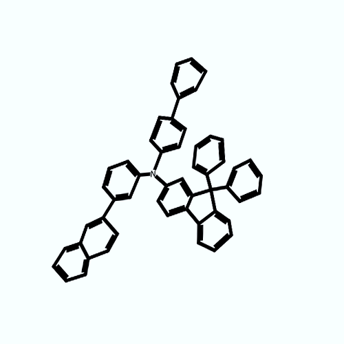 c1ccc(-c2ccc(N(c3cccc(-c4ccc5ccccc5c4)c3)c3ccc4c(c3)C(c3ccccc3)(c3ccccc3)c3ccccc3-4)cc2)cc1